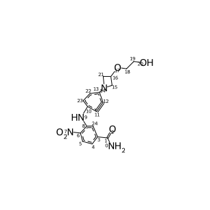 NC(=O)c1ccc([N+](=O)[O-])c(Nc2c#cc(N3CC(OCCO)C3)cc2)c1